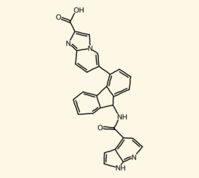 O=C(O)c1cn2cc(-c3cccc4c3-c3ccccc3C4NC(=O)c3ccnc4[nH]ccc34)ccc2n1